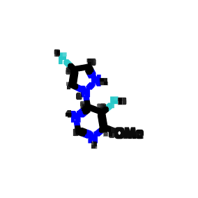 COc1ncnc(-n2cc(F)cn2)c1F